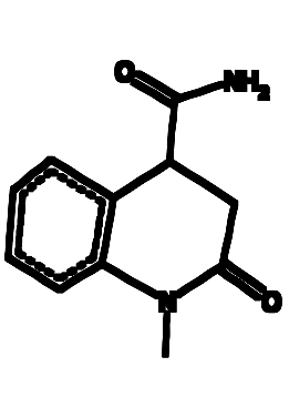 CN1C(=O)CC(C(N)=O)c2ccccc21